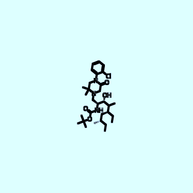 CC[C@H](C)C[C@H](CC)C(C)[C@@H](O)[C@H](CN1CC(=O)N(c2ccccc2Cl)CC1(C)C)NC(=O)OC(C)(C)C